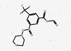 O=COC(=O)c1cc([N+](=O)ON2CCSCC2)cc(C(F)(F)F)c1